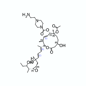 CCC(O)C(C)[C@H]1O[C@@H]1CC(C)(O)/C=C/C=C(\C)[C@H]1OC(=O)C[C@H](O)CC[C@@](C)(OC(C)=O)[C@@H](OC(=O)N2CCN(CCN)CC2)/C=C/[C@@H]1C